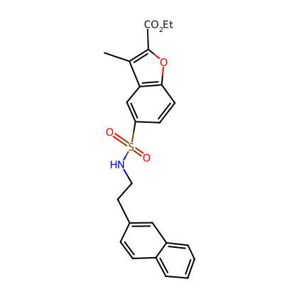 CCOC(=O)c1oc2ccc(S(=O)(=O)NCCc3ccc4ccccc4c3)cc2c1C